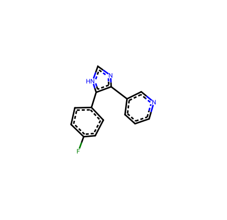 Fc1ccc(-c2[nH]cnc2-c2cccnc2)cc1